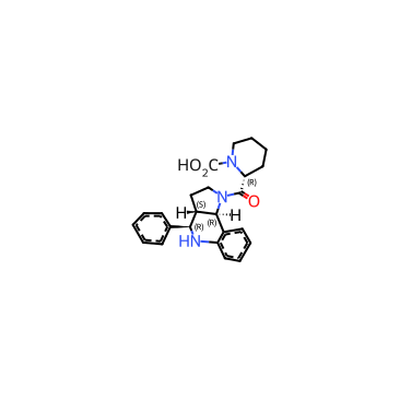 O=C(O)N1CCCC[C@@H]1C(=O)N1CC[C@H]2[C@H](c3ccccc3)Nc3ccccc3[C@@H]21